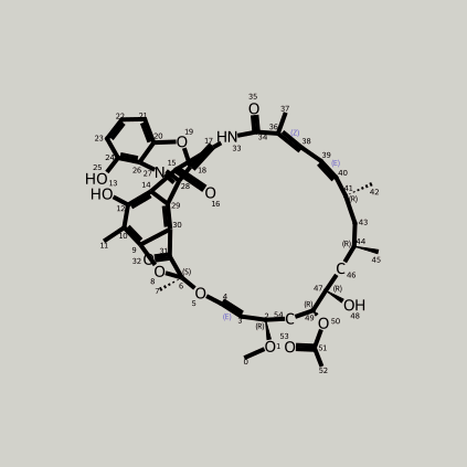 CO[C@H]1/C=C/O[C@@]2(C)Oc3c(C)c(O)c4c(=O)c(c5oc6cccc(O)c6nc-5c4c3C2=O)NC(=O)/C(C)=C\C=C\[C@H](C)C[C@@H](C)C[C@@H](O)[C@H](OC(C)=O)C1